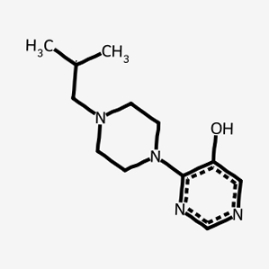 C[C](C)CN1CCN(c2ncncc2O)CC1